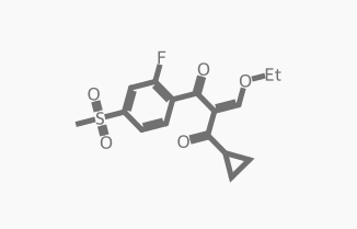 CCO/C=C(\C(=O)c1ccc(S(C)(=O)=O)cc1F)C(=O)C1CC1